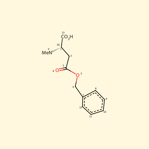 CN[C@@H](CC(=O)OCc1ccccc1)C(=O)O